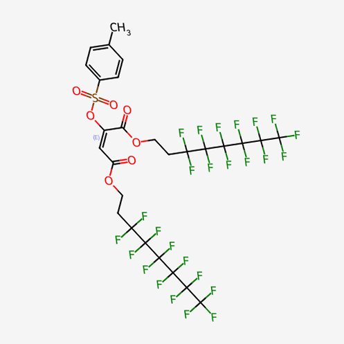 Cc1ccc(S(=O)(=O)O/C(=C/C(=O)OCCC(F)(F)C(F)(F)C(F)(F)C(F)(F)C(F)(F)C(F)(F)F)C(=O)OCCC(F)(F)C(F)(F)C(F)(F)C(F)(F)C(F)(F)C(F)(F)F)cc1